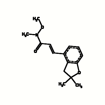 CON(C)C(=O)/C=C/c1cccc2c1CC(C)(C)O2